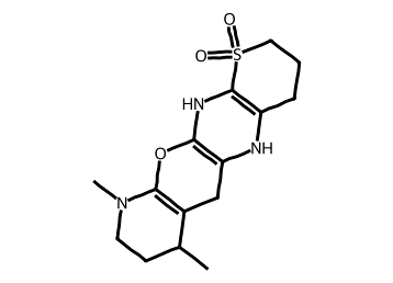 CC1CCN(C)C2=C1CC1=C(NC3=C(CCCS3(=O)=O)N1)O2